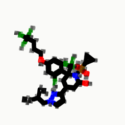 CC(C)Cn1ccc(C2=CC(=O)N(S(=O)(=O)C3CC3)C(c3ccc(OCCCC(F)(F)F)cc3F)(C(F)(F)F)C2)n1